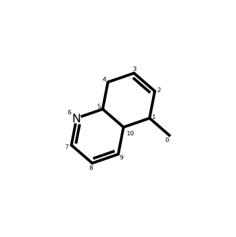 CC1C=CCC2N=CC=CC12